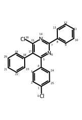 Clc1ccc(-c2nc(-c3ccccc3)nc(Cl)c2-c2ccccc2)cc1